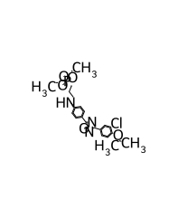 CCOP(=O)(CCCNc1ccc(-c2nc(-c3ccc(OC(C)C)c(Cl)c3)no2)cc1)OCC